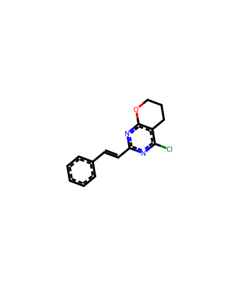 Clc1nc(C=Cc2ccccc2)nc2c1CCCO2